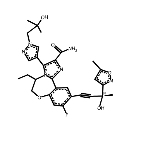 CCC1COc2cc(F)c(C#C[C@@](C)(O)c3cc(C)on3)cc2-c2nc(C(N)=O)c(-c3cnn(CC(C)(C)O)c3)n21